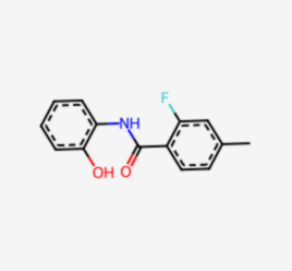 Cc1ccc(C(=O)Nc2ccccc2O)c(F)c1